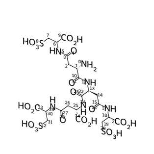 N[C@@H](CC(=O)NC(CS(=O)(=O)O)C(=O)O)C(=O)N[C@@H](CC(=O)NC(CS(=O)(=O)O)C(=O)O)C(=O)N[C@@H](CC(=O)NC(CS(=O)(=O)O)C(=O)O)C(=O)O